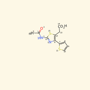 CCCC(=O)Nc1nc(-c2cccs2)c(CC(=O)O)s1